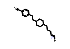 N#Cc1ccc(CCC2CCC(CCC/C=C/F)CC2)cc1